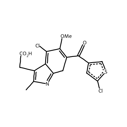 COC1=C(C(=O)c2csc(Cl)c2)CC2=NC(C)=C(CC(=O)O)C2=C1Cl